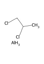 CC(Cl)CCl.[AlH3]